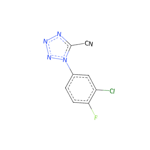 N#Cc1nnnn1-c1ccc(F)c(Cl)c1